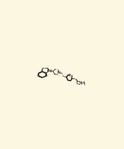 OCc1ccc(CCN2CCC(N3CCc4ccccc43)CC2)cn1